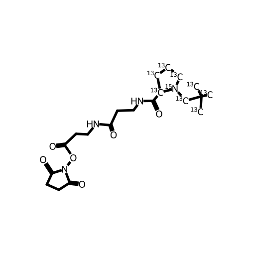 [13CH3]C([13CH3])([13CH3])[13CH2][15N]1[13CH2][13CH2][13CH2][13CH]1C(=O)NCCC(=O)NCCC(=O)ON1C(=O)CCC1=O